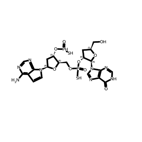 Nc1ncnc2c1ccn2[C@H]1C[C@H](O[PH](=O)S)[C@@H](COP(=O)(S)O[C@@H]2C[C@@H](CO)O[C@H]2n2cnc3c(=O)[nH]cnc32)O1